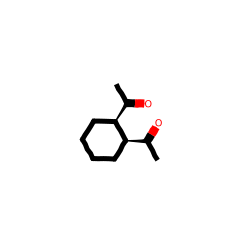 CC(=O)[C@H]1CCCC[C@H]1C(C)=O